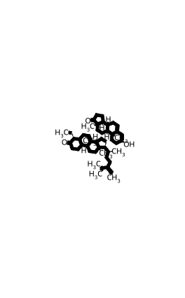 C/C=C(/CC[C@@H](C)[C@H]1CC[C@H]2C3=CCC4[C@@H](CC)C(=O)CC[C@]4(C)[C@H]3CC[C@]12C)C(C)C.C[C@]12CC[C@H](O)CC1=CC[C@@H]1[C@@H]2CC[C@]2(C)C(=O)CC[C@@H]12